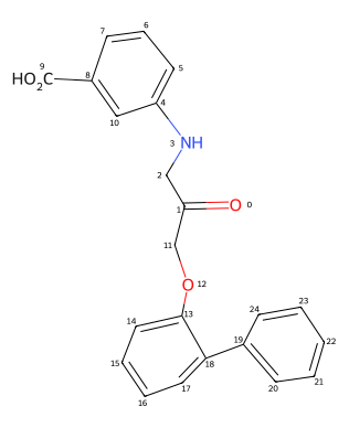 O=C(CNc1cccc(C(=O)O)c1)COc1ccccc1-c1ccccc1